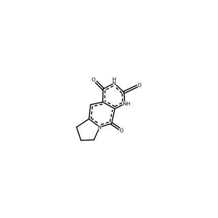 O=c1[nH]c(=O)c2cc3n(c(=O)c2[nH]1)CCC3